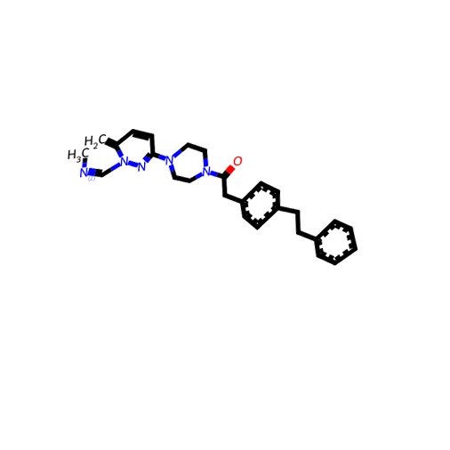 C=C1C=CC(N2CCN(C(=O)Cc3ccc(CCc4ccccc4)cc3)CC2)=NN1/C=N\C